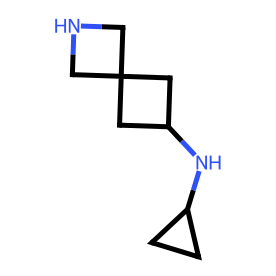 C1CC1NC1CC2(CNC2)C1